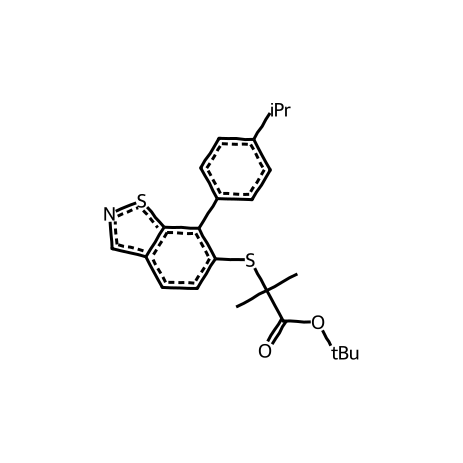 CC(C)c1ccc(-c2c(SC(C)(C)C(=O)OC(C)(C)C)ccc3cnsc23)cc1